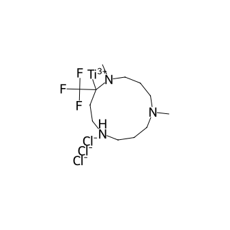 CN1CCCNCC[C]([Ti+3])(C(F)(F)F)N(C)CCC1.[Cl-].[Cl-].[Cl-]